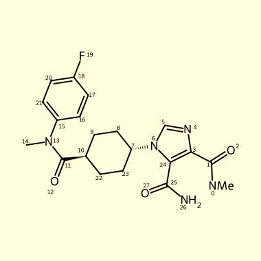 CNC(=O)c1ncn([C@H]2CC[C@H](C(=O)N(C)c3ccc(F)cc3)CC2)c1C(N)=O